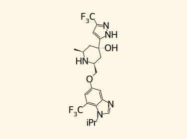 CC(C)n1cnc2cc(OC[C@@H]3C[C@](O)(c4cc(C(F)(F)F)n[nH]4)C[C@H](C)N3)cc(C(F)(F)F)c21